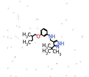 CCC(C)COc1cccc(NCc2c[nH]nc2C(C)(C)C)c1